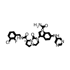 NC(=O)n1cc(N2CCN3CC[C@@H](C(=O)NCc4cccc(Cl)c4F)N3C2=O)c2ccc(Nc3cncnc3)cc21